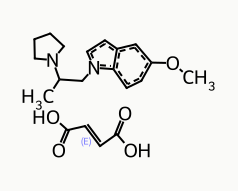 COc1ccc2c(ccn2CC(C)N2CCCC2)c1.O=C(O)/C=C/C(=O)O